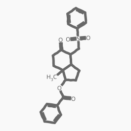 CC12CCC(=O)C(CS(=O)(=O)c3ccccc3)C1CCC2OC(=O)c1ccccc1